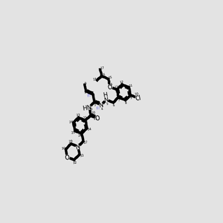 C/C=C/C(=N\NCc1cc(Cl)ccc1OCC(C)C)NC(=O)c1cccc(CN2CCOCC2)c1